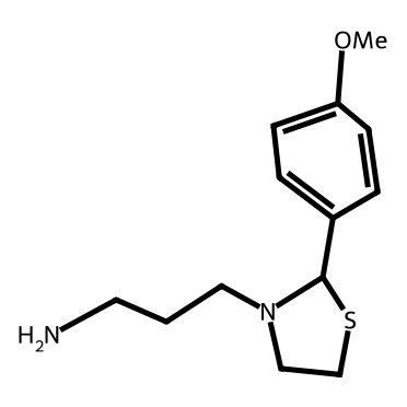 COc1ccc(C2SCCN2CCCN)cc1